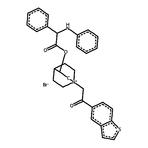 O=C(C[N+]12CCC(CC1)C(OC(=O)C(Nc1ccccc1)c1ccccc1)C2)c1ccc2sccc2c1.[Br-]